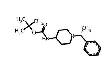 C[C@H](c1ccccc1)N1CCC(NC(=O)OC(C)(C)C)CC1